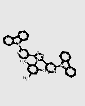 Cc1cc(C)c(-n2c(-c3ccnc(-n4c5ccccc5c5ccccc54)c3)nnc2-c2ccnc(-n3c4ccccc4c4ccccc43)c2)c(C)c1